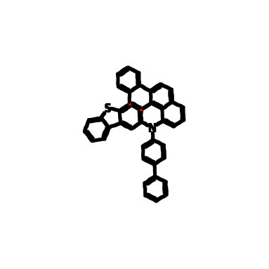 c1ccc(-c2ccc(N(c3ccc4sc5ccccc5c4c3)c3cccc4ccc5c6ccccc6ccc5c34)cc2)cc1